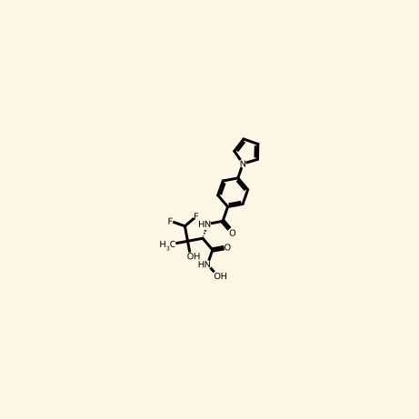 CC(O)(C(F)F)[C@H](NC(=O)c1ccc(-n2cccc2)cc1)C(=O)NO